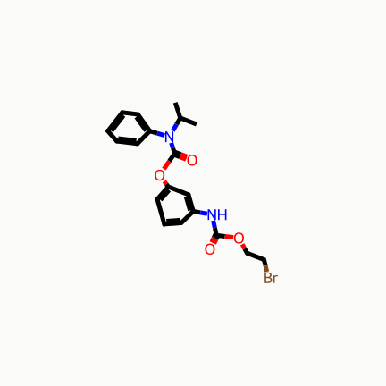 CC(C)N(C(=O)Oc1cccc(NC(=O)OCCBr)c1)c1ccccc1